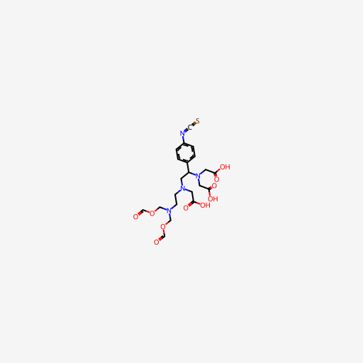 O=COCN(CCN(CC(=O)O)CC(c1ccc(N=C=S)cc1)N(CC(=O)O)CC(=O)O)COC=O